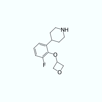 Fc1cccc(C2CCNCC2)c1OC1COC1